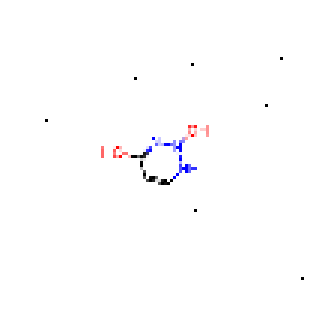 OC1=NN(O)NC=C1